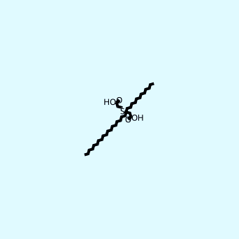 CCCCCCCCCCCCCCCCCCC(CCCCCCCCCCCC)(CC(=O)O)SCCC(=O)O